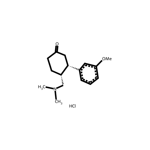 COc1cccc([C@H]2CC(=O)CC[C@H]2CN(C)C)c1.Cl